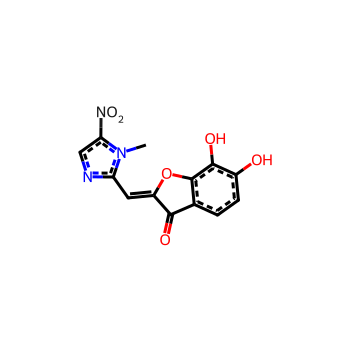 Cn1c([N+](=O)[O-])cnc1C=C1Oc2c(ccc(O)c2O)C1=O